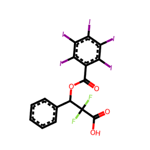 O=C(OC(c1ccccc1)C(F)(F)C(=O)O)c1c(I)c(I)c(I)c(I)c1I